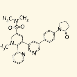 CN1CC(S(=O)(=O)N(C)C)=CC(c2cncc(-c3ccc(N4CCCC4=O)cc3)c2)=C1c1ccccn1